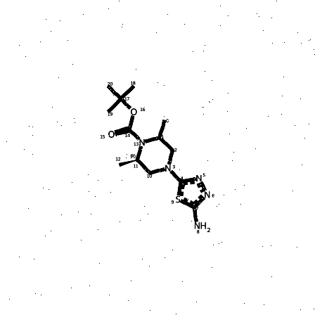 CC1CN(c2nnc(N)s2)C[C@@H](C)N1C(=O)OC(C)(C)C